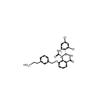 NC(=O)[C@@H]1c2c(OCc3cccc(CCC(=O)O)c3)cccc2C(=O)N[C@H]1c1ccc(Cl)cc1Cl